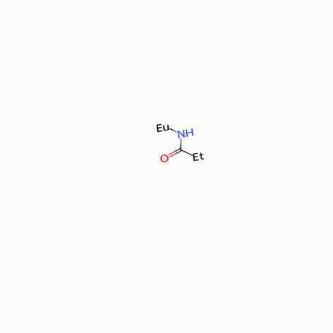 CCC(=O)[NH][Eu]